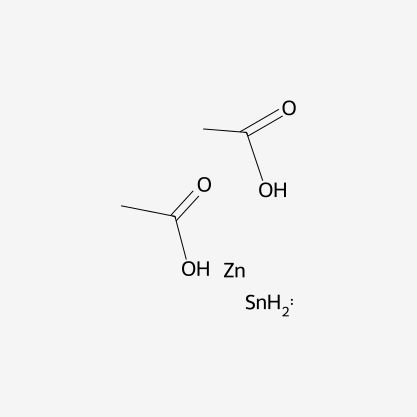 CC(=O)O.CC(=O)O.[SnH2].[Zn]